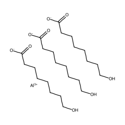 O=C([O-])CCCCCCCO.O=C([O-])CCCCCCCO.O=C([O-])CCCCCCCO.[Al+3]